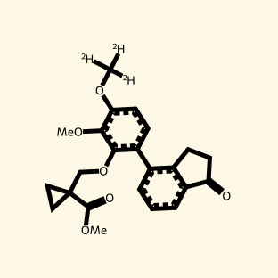 [2H]C([2H])([2H])Oc1ccc(-c2cccc3c2CCC3=O)c(OCC2(C(=O)OC)CC2)c1OC